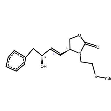 CCCCSCCN1C(=O)OC[C@@H]1/C=C/[C@@H](O)Cc1ccccc1